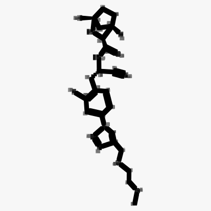 COCCOCc1cn(-c2ccc(C[C@@H](C#N)NC(=O)[C@H]3N[C@@H]4CC[C@H]3C4)c(F)c2)nn1